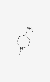 CN1CCC(P)CC1